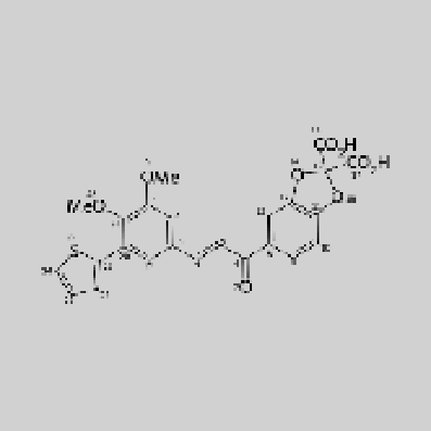 COc1cc(/C=C/C(=O)c2ccc3c(c2)OC(C(=O)O)(C(=O)O)O3)cc(-c2cccs2)c1OC